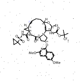 CC[C@@H]1O[C@@H]2C=C([C@H]1NC(=O)OC(C)(C)C(F)(F)F)N1C[C@H](Oc3nc(OC)cc4cc(OC)ccc34)C[C@H]1C(=O)N[C@]1(C(=O)NS(=O)(=O)C3(C)CC3)C[C@H]1/C=C\CC2